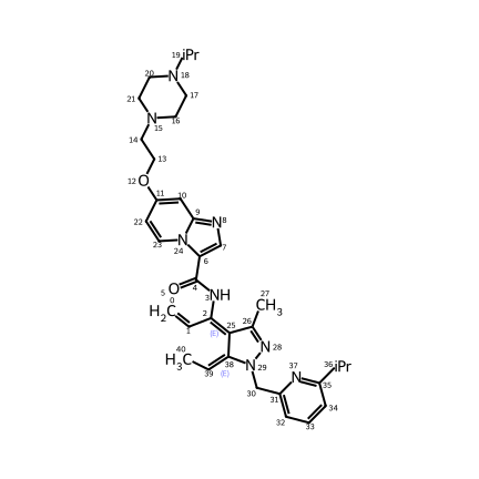 C=C/C(NC(=O)c1cnc2cc(OCCN3CCN(C(C)C)CC3)ccn12)=c1/c(C)nn(Cc2cccc(C(C)C)n2)/c1=C/C